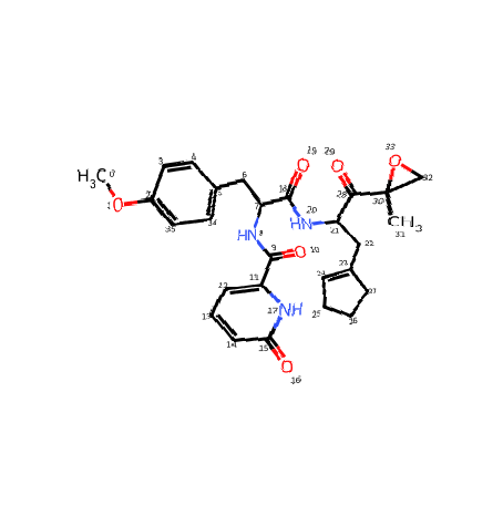 COc1ccc(CC(NC(=O)c2cccc(=O)[nH]2)C(=O)NC(CC2=CCCC2)C(=O)C2(C)CO2)cc1